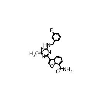 Cc1nc(NCc2cccc(F)c2)nc(C2=COC3C(C(N)=O)=CC=CC23)n1